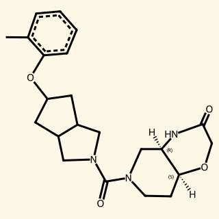 Cc1ccccc1OC1CC2CN(C(=O)N3CC[C@@H]4OCC(=O)N[C@@H]4C3)CC2C1